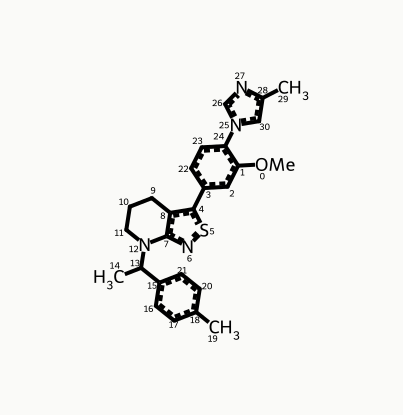 COc1cc(-c2snc3c2CCCN3C(C)c2ccc(C)cc2)ccc1-n1cnc(C)c1